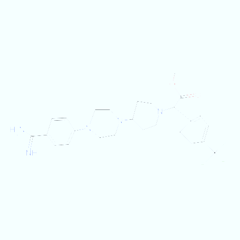 COC(=O)C(c1ccc(C(F)(F)F)cc1)N1CCC(N2CCN(c3ccc(C(=N)N)cc3)CC2)CC1